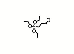 CCO[Si](CCC=O)(OCC)OCC